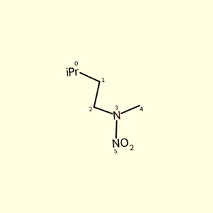 CC(C)CCN(C)[N+](=O)[O-]